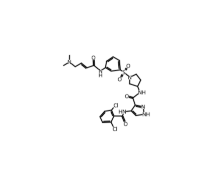 CN(C)CC=CC(=O)Nc1cccc(S(=O)(=O)N2CCC(NC(=O)c3n[nH]cc3NC(=O)c3c(Cl)cccc3Cl)C2)c1